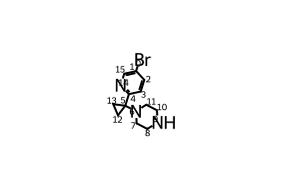 Brc1ccc(C2(N3CCNCC3)CC2)nc1